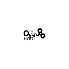 O=C(NC(C(=O)O)C1CCCCCC1)OCC1c2ccccc2-c2ccccc21